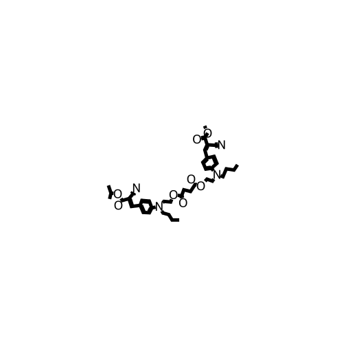 CCCCN(CCOC(=O)CCC(=O)OCCN(CCCC)c1ccc(/C=C(\C#N)C(=O)OC(C)C)cc1)c1ccc(/C=C(\C#N)C(=O)OC)cc1